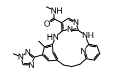 CNC(=O)c1cnc2nc1Nc1cc(cc(-c3ncn(C)n3)c1C)CCCc1cccc(n1)N2